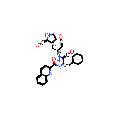 O=C=C[C@H](C[C@@H]1CCNC1=C=O)NC(=C=O)[C@H](CC1CCCCC1)NC(=O)c1ccc2ccccc2n1